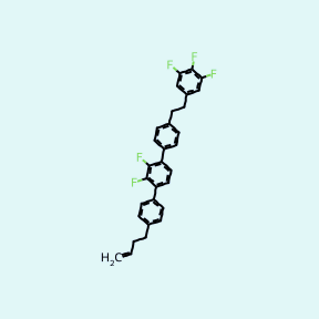 C=CCCc1ccc(-c2ccc(-c3ccc(CCc4cc(F)c(F)c(F)c4)cc3)c(F)c2F)cc1